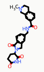 CN1CCc2ccc(C(=O)NCc3ccc4c(c3)CN(C3CCC(=O)NC3=O)C4=O)cc2C1